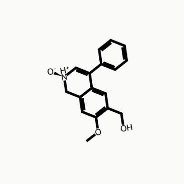 COc1cc2c(cc1CO)C(c1ccccc1)=C[N@H+]([O-])C2